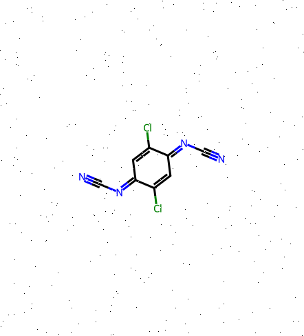 N#CN=C1C=C(Cl)C(=NC#N)C=C1Cl